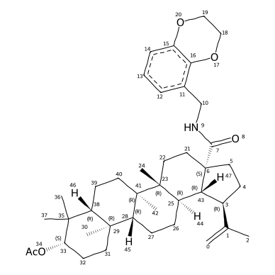 C=C(C)[C@@H]1CC[C@]2(C(=O)NCc3cccc4c3OCCO4)CC[C@]3(C)[C@H](CC[C@@H]4[C@@]5(C)CC[C@H](OC(C)=O)C(C)(C)[C@@H]5CC[C@]43C)[C@@H]12